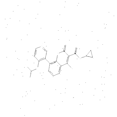 Nc1c(C(=O)NC2CC2)c(=O)[nH]c2c(-c3cnccc3OC(F)F)cccc12